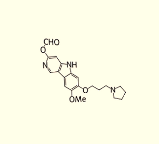 COc1cc2c(cc1OCCCN1CCCC1)[nH]c1cc(OC=O)ncc12